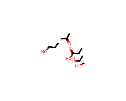 CC(C)=O.CCC(=O)O.CCCO.CCO.CO